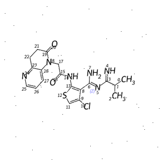 CC(C)C(=N)/N=C(\N)c1c(Cl)csc1NC(=O)CN1C(=O)CCc2ncccc21